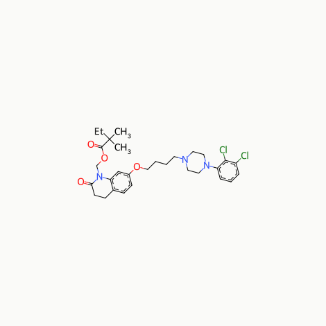 CCC(C)(C)C(=O)OCN1C(=O)CCc2ccc(OCCCCN3CCN(c4cccc(Cl)c4Cl)CC3)cc21